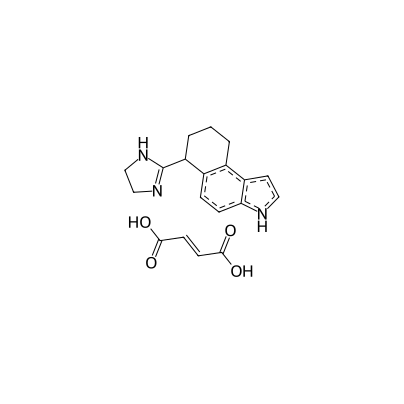 O=C(O)/C=C/C(=O)O.c1cc2c3c(ccc2[nH]1)C(C1=NCCN1)CCC3